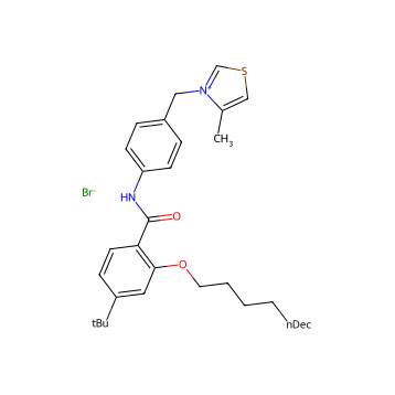 CCCCCCCCCCCCCCOc1cc(C(C)(C)C)ccc1C(=O)Nc1ccc(C[n+]2cscc2C)cc1.[Br-]